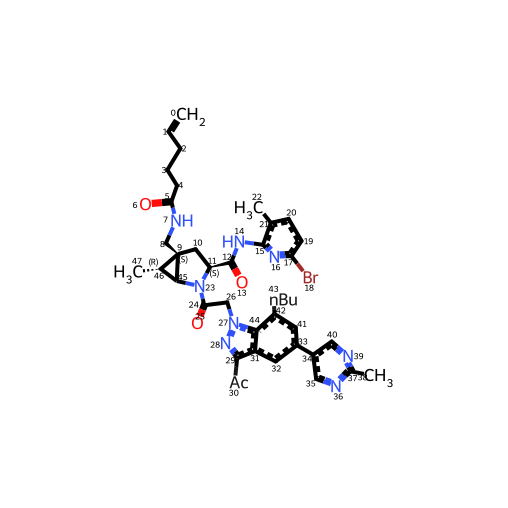 C=CCCCC(=O)NC[C@@]12C[C@@H](C(=O)Nc3nc(Br)ccc3C)N(C(=O)Cn3nc(C(C)=O)c4cc(-c5cnc(C)nc5)cc(CCCC)c43)C1[C@@H]2C